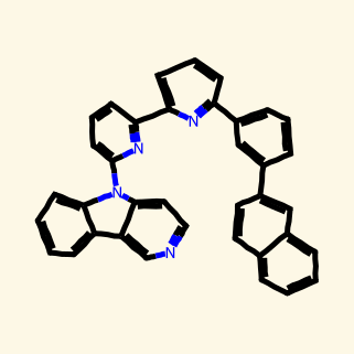 c1cc(-c2ccc3ccccc3c2)cc(-c2cccc(-c3cccc(-n4c5ccccc5c5cnccc54)n3)n2)c1